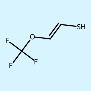 FC(F)(F)OC=CS